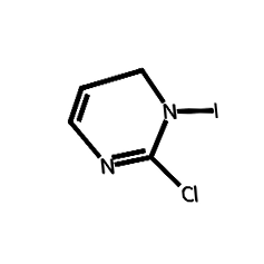 ClC1=NC=CCN1I